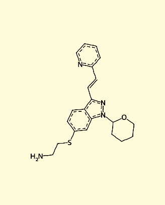 NCCSc1ccc2c(C=Cc3ccccn3)nn(C3CCCCO3)c2c1